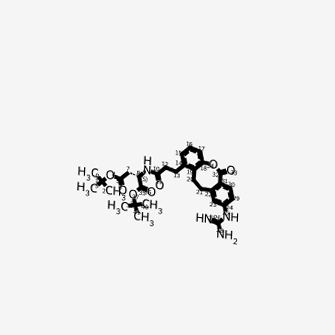 CC(C)(C)OC(=O)C[C@H](NC(=O)CCc1cccc2c1CCc1cc(NC(=N)N)ccc1C(=O)O2)C(=O)OC(C)(C)C